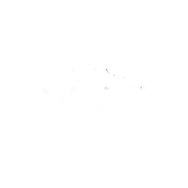 CC(C)OC(=O)[C@H](Cc1cccc(OS(C)(=O)=O)c1)NCc1ccccc1